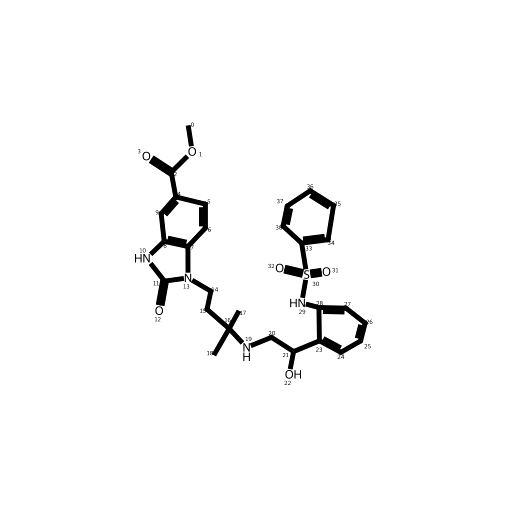 COC(=O)c1ccc2c(c1)[nH]c(=O)n2CCC(C)(C)NCC(O)c1ccccc1NS(=O)(=O)c1ccccc1